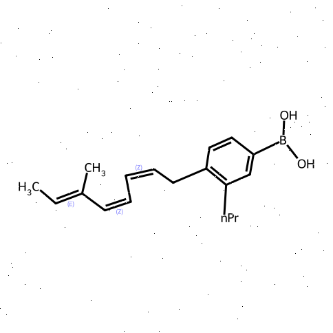 C/C=C(C)/C=C\C=C/Cc1ccc(B(O)O)cc1CCC